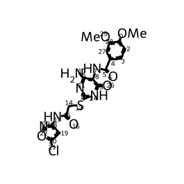 COc1ccc(C(=O)Nc2c(N)nc(SCC(=O)Nc3cc(Cl)on3)[nH]c2=O)cc1OC